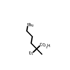 CCC(C)(CCCC(C)(C)C)C(=O)O